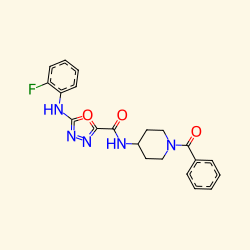 O=C(NC1CCN(C(=O)c2ccccc2)CC1)c1nnc(Nc2ccccc2F)o1